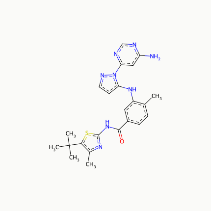 Cc1ccc(C(=O)Nc2nc(C)c(C(C)(C)C)s2)cc1Nc1ccnn1-c1cc(N)ncn1